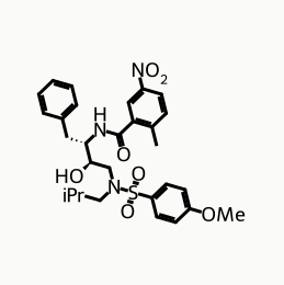 COc1ccc(S(=O)(=O)N(CC(C)C)C[C@@H](O)[C@H](Cc2ccccc2)NC(=O)c2cc([N+](=O)[O-])ccc2C)cc1